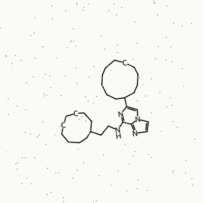 c1cn2cc(C3CCCCCCCCCCC3)nc(NCCC3CCCCCCCCC3)c2n1